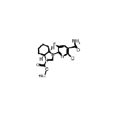 CC(C)(C)OC(=O)N1CN(c2nc(Cl)c(C(N)=O)cc2F)[C@@H]2CCCC[C@@H]21